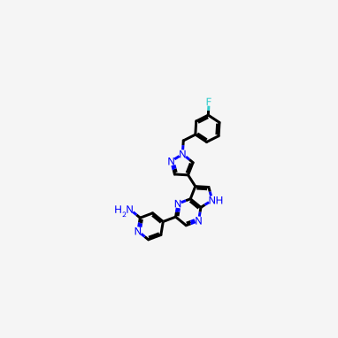 Nc1cc(-c2cnc3[nH]cc(-c4cnn(Cc5cccc(F)c5)c4)c3n2)ccn1